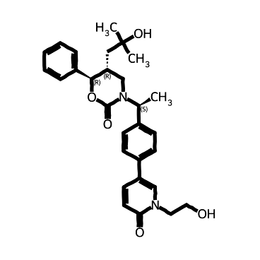 C[C@@H](c1ccc(-c2ccc(=O)n(CCO)c2)cc1)N1C[C@@H](CC(C)(C)O)[C@H](c2ccccc2)OC1=O